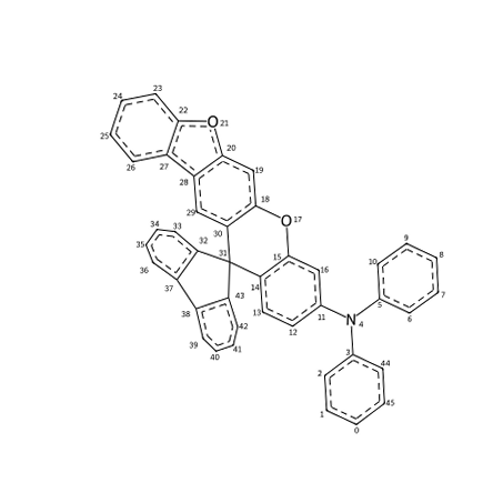 c1ccc(N(c2ccccc2)c2ccc3c(c2)Oc2cc4oc5ccccc5c4cc2C32c3ccccc3-c3ccccc32)cc1